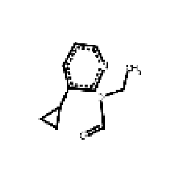 CCOC=O.c1cncc(C2CC2)c1